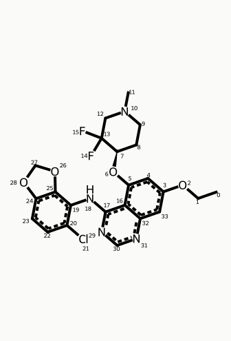 CCOc1cc(O[C@@H]2CCN(C)CC2(F)F)c2c(Nc3c(Cl)ccc4c3OCO4)ncnc2c1